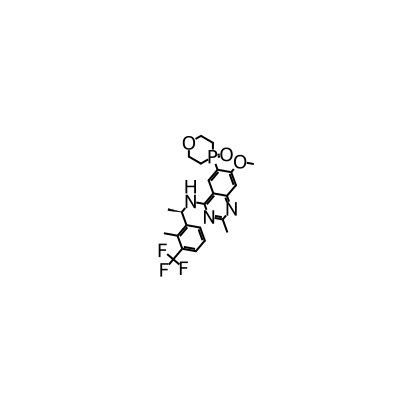 COc1cc2nc(C)nc(N[C@H](C)c3cccc(C(F)(F)F)c3C)c2cc1P1(=O)CCOCC1